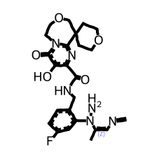 C=N/C=C(/C)N(N)c1cc(F)ccc1CNC(=O)c1nc2n(c(=O)c1O)CCOCC21CCOCC1